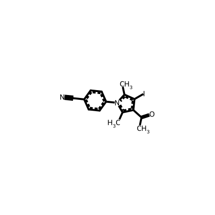 CC(=O)c1c(I)c(C)n(-c2ccc(C#N)cc2)c1C